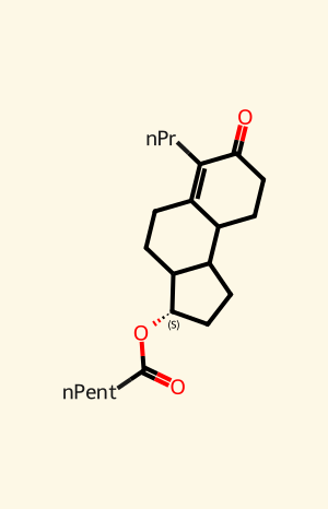 CCCCCC(=O)O[C@H]1CCC2C3CCC(=O)C(CCC)=C3CCC21